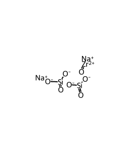 O=[Si]([O-])[O-].O=[Si]([O-])[O-].[Na+].[Na+].[O]=[Zr+2]